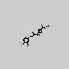 O=C(COc1ccc(Cl)c(F)c1)NC12CC(/C(Cl)=N/O)(C1)C2